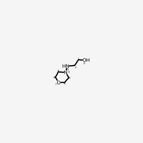 OCCNN1CCOCC1